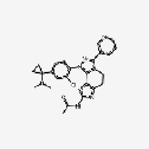 CC(=O)Nc1nc2c(s1)-c1c(c(-c3cccnc3)nn1-c1ccc(C3(N(C)C)CC3)cc1Cl)CC2